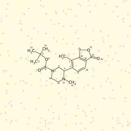 Cc1c(C2CN(C(=O)OC(C)(C)C)CCN2C)ccc2c1COC2=O